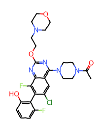 CC(=O)N1CCN(c2nc(OCCN3CCOCC3)nc3c(F)c(-c4c(O)cccc4F)c(Cl)cc23)CC1